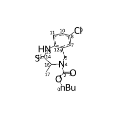 CCCCOC(=O)N1Cc2cc(Cl)ccc2NC(=S)C1C